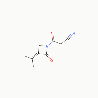 CC(C)=C1CN(C(=O)CC#N)C1=O